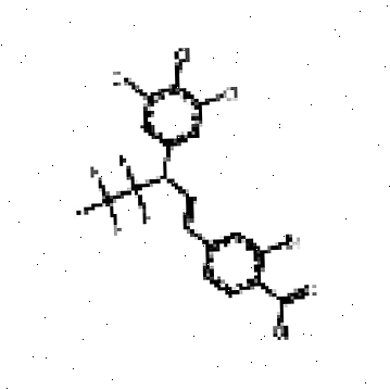 O=C(O)c1ccc(/C=C/C(c2cc(Cl)c(Cl)c(Cl)c2)C(F)(F)C(F)(F)F)cc1Br